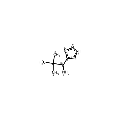 CC(C)(C)[C@H](N)c1c[nH]nn1